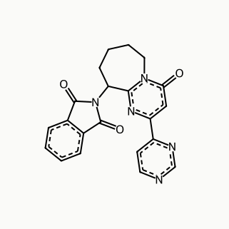 O=C1c2ccccc2C(=O)N1C1CCCCn2c1nc(-c1ccncn1)cc2=O